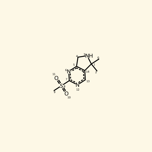 CC1(C)NCc2nc(S(C)(=O)=O)ncc21